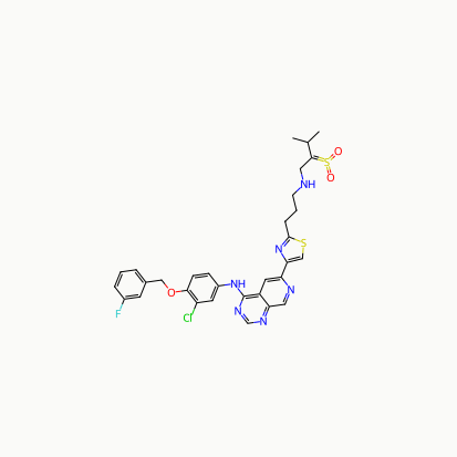 CC(C)C(CNCCCc1nc(-c2cc3c(Nc4ccc(OCc5cccc(F)c5)c(Cl)c4)ncnc3cn2)cs1)=S(=O)=O